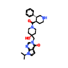 CC(C)n1ccc2c(=O)n(CC3(O)CCN(C(=O)[C@@H]4CCNC[C@H]4c4ccccc4)CC3)cnc21